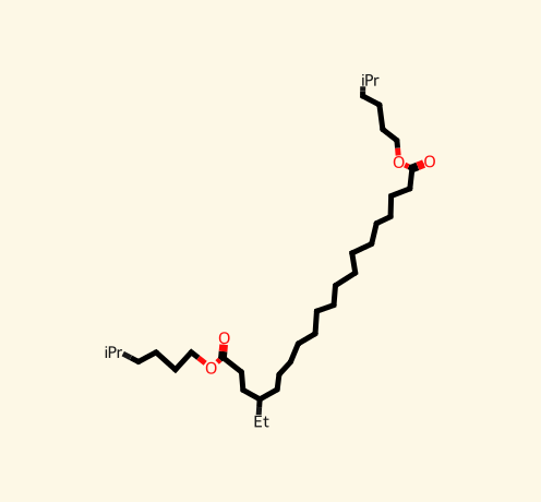 CCC(CCCCCCCCCCCCCCCC(=O)OCCCCC(C)C)CCC(=O)OCCCCC(C)C